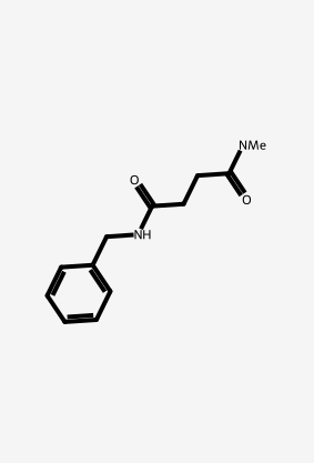 CNC(=O)CCC(=O)NCc1ccccc1